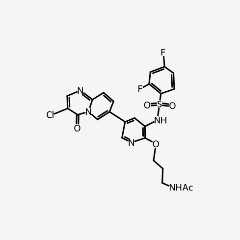 CC(=O)NCCCOc1ncc(-c2ccc3ncc(Cl)c(=O)n3c2)cc1NS(=O)(=O)c1ccc(F)cc1F